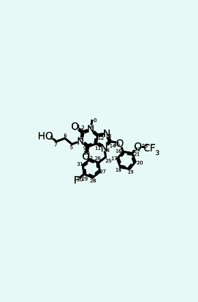 Cn1c(=O)n(CCCO)c(=O)c2c1nc(Oc1ccccc1OC(F)(F)F)n2Cc1ccc(F)cc1